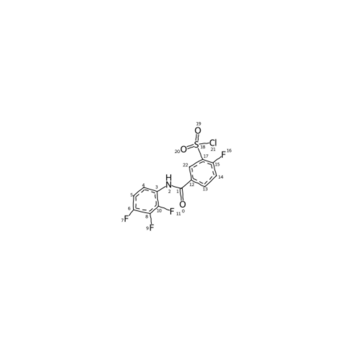 O=C(Nc1ccc(F)c(F)c1F)c1ccc(F)c(S(=O)(=O)Cl)c1